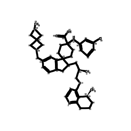 C[C@@H](COc1ccnc2c1[C@H](C)CCC2)CC1Cc2ccc(CN3CC4(CN(C)C4)C3)cc2C12CCC(Nc1cccc(Cl)c1)(C(=O)O)CC2